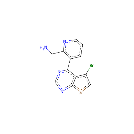 NCc1ncccc1-c1ncnc2scc(Br)c12